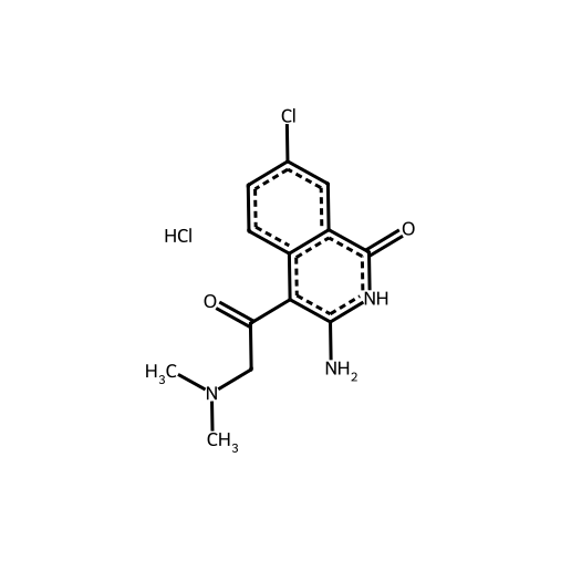 CN(C)CC(=O)c1c(N)[nH]c(=O)c2cc(Cl)ccc12.Cl